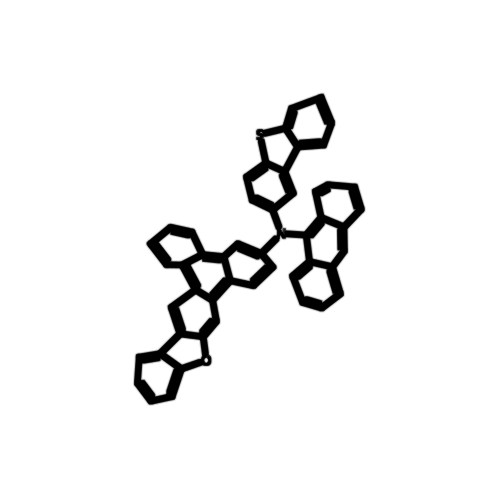 c1ccc2c(N(c3ccc4sc5ccccc5c4c3)c3ccc4c(c3)c3ccccc3c3cc5c(cc43)oc3ccccc35)c3ccccc3cc2c1